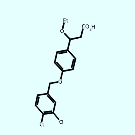 CCOC(CC(=O)O)c1ccc(OCc2ccc(Cl)c(Cl)c2)cc1